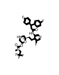 CN(CC(F)(F)F)C(=O)O[C@H]1CNC[C@@H](CCc2c(F)cncc2NC(=O)CC(c2ccc(F)cc2)c2ccc(F)cc2)O1